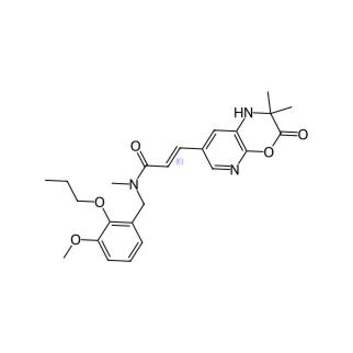 CCCOc1c(CN(C)C(=O)/C=C/c2cnc3c(c2)NC(C)(C)C(=O)O3)cccc1OC